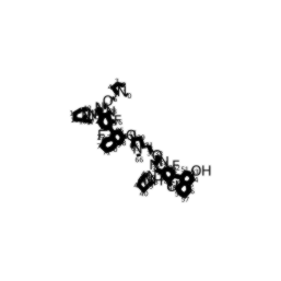 CN1CCC[C@H]1COc1nc(N2CC3CCC(C2)N3)c2cc(F)c(-c3cc(O[C@H]4C[C@@H](CCOc5nc(N6CC7CCC(C6)N7)c6cc(Cl)c(-c7cc(O)cc8ccccc78)c(F)c6n5)N(C)C4)cc4ccccc34)c(F)c2n1